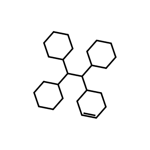 C1=CCC(C(C2CCCCC2)C(C2CCCCC2)C2CCCCC2)CC1